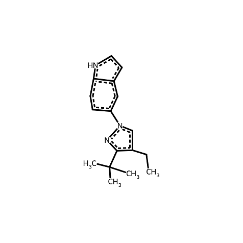 CCc1cn(-c2ccc3[nH]ccc3c2)nc1C(C)(C)C